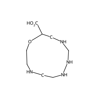 O=C(O)C1CNCNNCCNCCO1